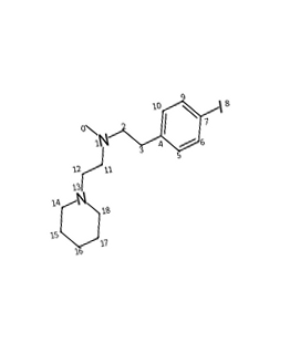 CN(CCc1ccc(I)cc1)CCN1CCCCC1